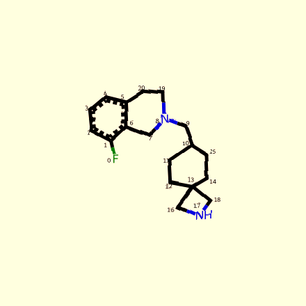 Fc1cccc2c1CN(CC1CCC3(CC1)CNC3)CC2